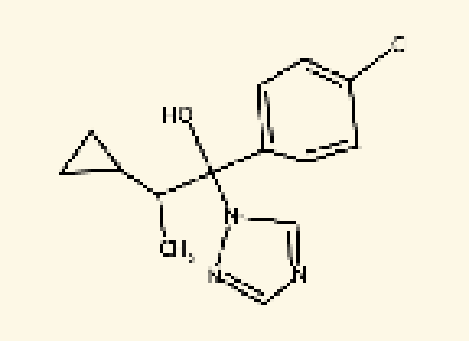 CC(C1CC1)C(O)(c1ccc(Cl)cc1)n1cncn1